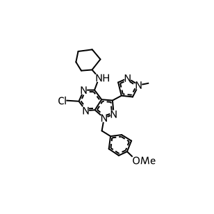 COc1ccc(Cn2nc(-c3cnn(C)c3)c3c(NC4CCCCC4)nc(Cl)nc32)cc1